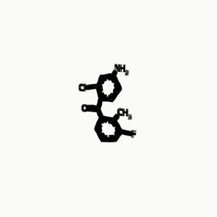 Cc1c(F)cccc1C(=O)c1ccc(N)cc1Cl